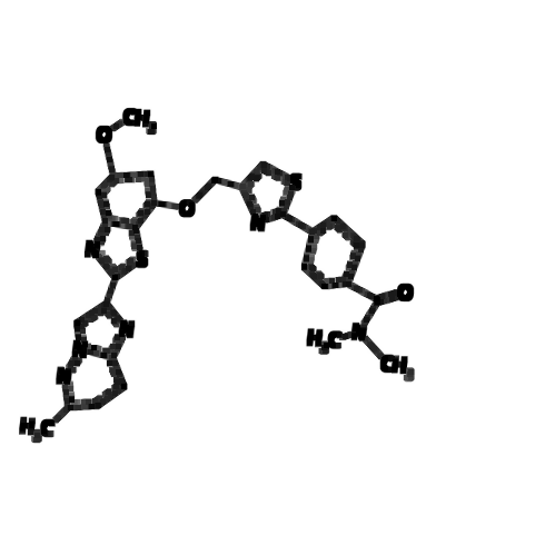 COc1cc(OCc2csc(-c3ccc(C(=O)N(C)C)cc3)n2)c2sc(-c3cn4nc(C)ccc4n3)nc2c1